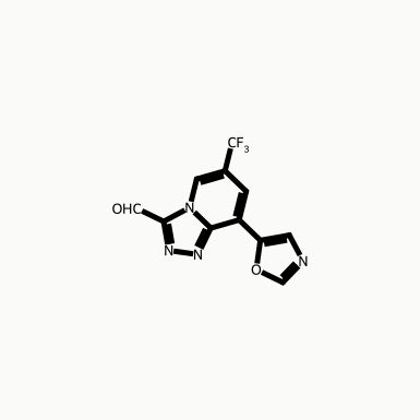 O=Cc1nnc2c(-c3cnco3)cc(C(F)(F)F)cn12